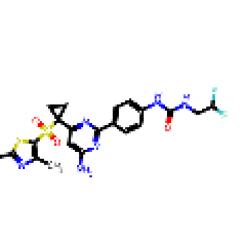 Cc1nc(C)c(S(=O)(=O)C2(c3cc(N)nc(-c4ccc(NC(=O)NCC(F)F)cc4)n3)CC2)s1